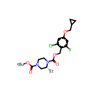 CC[C@@H]1CN(C(=O)OC(C)(C)C)CCN1C(=O)OCc1c(F)cc(OCC2CC2)cc1Cl